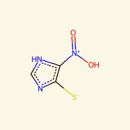 O=[N+](O)c1[nH]cnc1[S-]